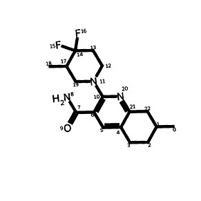 CC1CCc2cc(C(N)=O)c(N3CCC(F)(F)C(C)C3)nc2C1